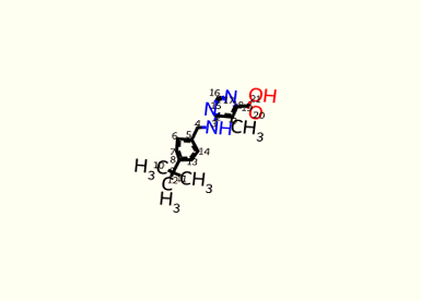 Cc1c(NCc2ccc(C(C)(C)C)cc2)ncnc1C(=O)O